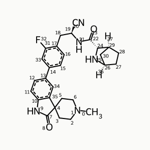 CN1CCC2(CC1)C(=O)Nc1ccc(-c3ccc(C[C@@H](C#N)NC(=O)[C@H]4N[C@@H]5CC[C@H]4C5)c(F)c3)cc12